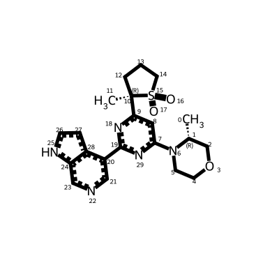 C[C@@H]1COCCN1c1cc([C@@]2(C)CCCS2(=O)=O)nc(-c2cncc3[nH]ccc23)n1